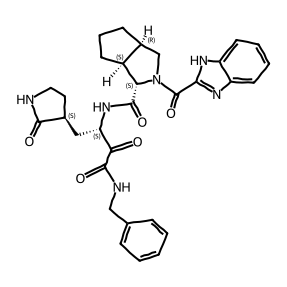 O=C(NCc1ccccc1)C(=O)[C@H](C[C@@H]1CCNC1=O)NC(=O)[C@@H]1[C@H]2CCC[C@H]2CN1C(=O)c1nc2ccccc2[nH]1